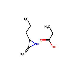 C=C1NC1CCC.CCC(=O)O